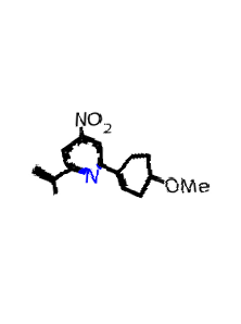 C=C(C)c1cc([N+](=O)[O-])cc(C2=CCC(OC)CC2)n1